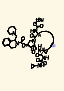 CC(C)(C)OC(=O)N[C@H]1CCCCC/C=C\C2C[C@@]2(C(=O)NS(=O)(=O)NC2CC2)NC(=O)[C@@H]2C[C@@H](OC(=O)N3CCc4ccccc4C3CN3CCCCC3)CN2C1=O